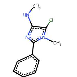 CNc1nc(-c2ccccc2)n(C)c1Cl